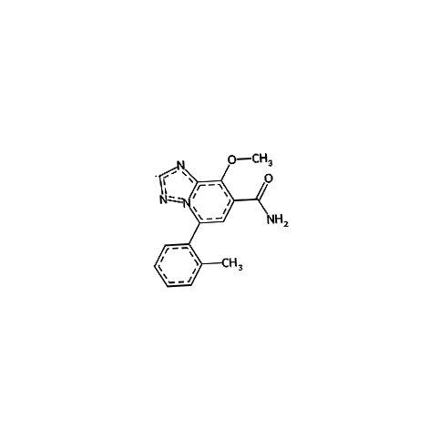 COc1c(C(N)=O)cc(-c2ccccc2C)n2n[c]nc12